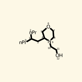 CCCC(CCC)CC1COCCN1CCO